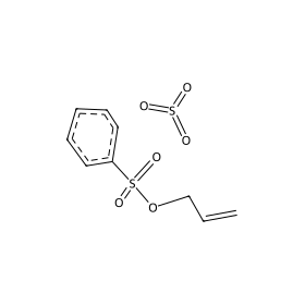 C=CCOS(=O)(=O)c1ccccc1.O=S(=O)=O